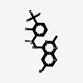 Cc1nc(N[C@H](C)c2cccc(C(F)(F)F)c2F)c2cc(Br)cnc2n1